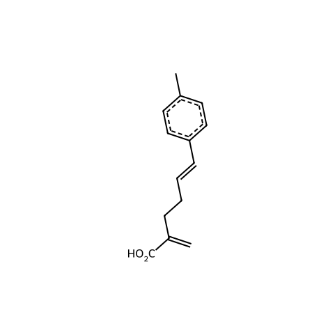 C=C(CCC=Cc1ccc(C)cc1)C(=O)O